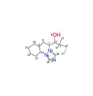 CC(C)(CF)C(O)C(CC1CCCCC1)n1cncn1